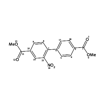 COC(=O)c1ccc(-c2ccc(C(=O)OC)cc2[N+](=O)[O-])cc1